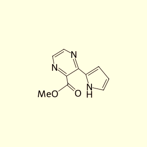 COC(=O)c1nccnc1-c1ccc[nH]1